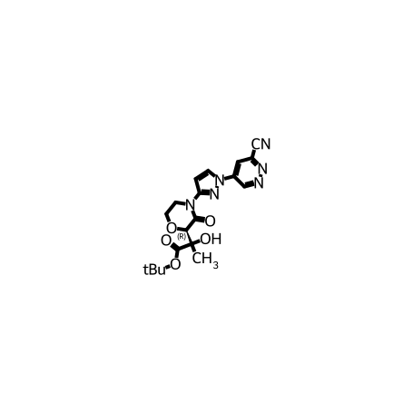 CC(C)(C)OC(=O)C(C)(O)[C@H]1OCCN(c2ccn(-c3cnnc(C#N)c3)n2)C1=O